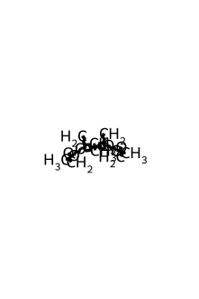 C=CCc1cc(C(C)(C)c2ccc(OCCOC(=O)C(=C)C)c(CC=C)c2)ccc1OCCOC(=O)C(=C)C